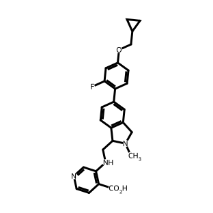 CN1Cc2cc(-c3ccc(OCC4CC4)cc3F)ccc2C1CNc1cnccc1C(=O)O